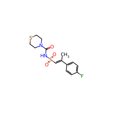 C/C(=C\S(=O)(=O)NC(=O)N1CCSCC1)c1ccc(F)cc1